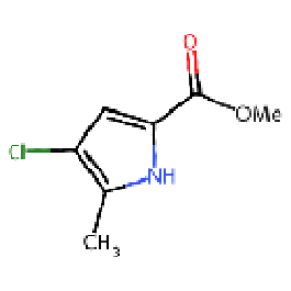 COC(=O)c1cc(Cl)c(C)[nH]1